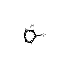 Oc1ccccc1.[LiH]